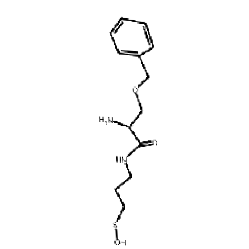 NC(COCc1ccccc1)C(=O)NCCCSO